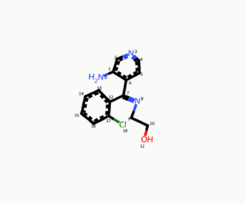 Nc1cnccc1C(=NCCO)c1ccccc1Cl